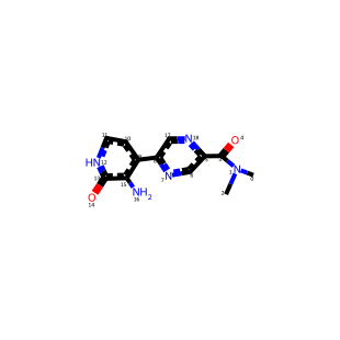 CN(C)C(=O)c1cnc(-c2cc[nH]c(=O)c2N)cn1